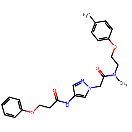 CN(CCOc1ccc(C(F)(F)F)cc1)C(=O)Cn1cc(NC(=O)CCOc2ccccc2)cn1